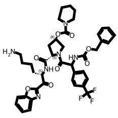 NCCCC[C@H](NC(=O)[C@@H]1C[C@@H](OC(=O)N2CCCCC2)CN1C(=O)C(NC(=O)OCc1ccccc1)c1ccc(C(F)(F)F)cc1)C(=O)c1nc2ccccc2o1